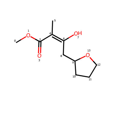 COC(=O)C(C)=C(O)CC1CCCO1